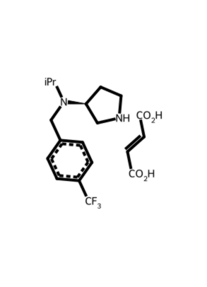 CC(C)N(Cc1ccc(C(F)(F)F)cc1)[C@H]1CCNC1.O=C(O)/C=C/C(=O)O